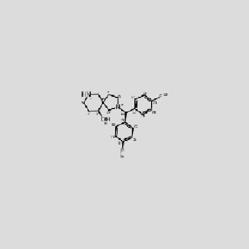 OC1CCNCC12CCN(C(c1ccc(F)cc1)c1ccc(F)cc1)C2